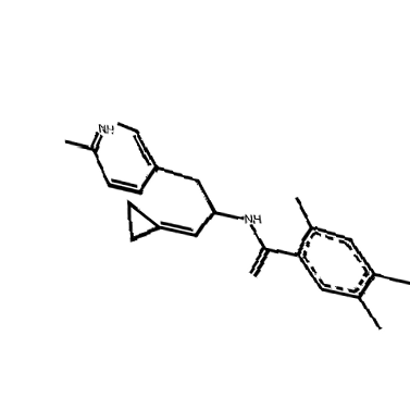 C=C(NC(C=C1CC1)CC(/C=C\C(C)=N)=C/C)c1cc(C)c(C)cc1C